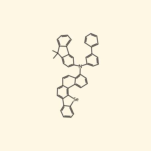 CC1(C)c2ccccc2-c2cc(N(c3cccc(-c4ccccc4)c3)c3cccc4c3ccc3ccc5c6ccccc6[se]c5c34)ccc21